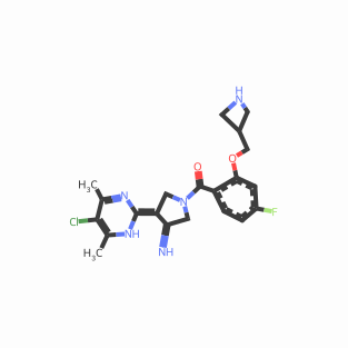 CC1=N/C(=C2\CN(C(=O)c3ccc(F)cc3OCC3CNC3)CC2=N)NC(C)=C1Cl